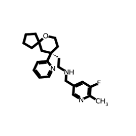 Cc1ncc(CNCC[C@@]2(c3ccccn3)CCOC3(CCCC3)C2)cc1F